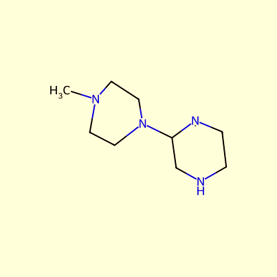 CN1CCN(C2CNCC[N]2)CC1